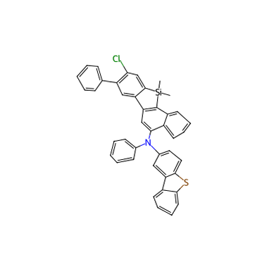 C[Si]1(C)c2cc(Cl)c(-c3ccccc3)cc2-c2cc(N(c3ccccc3)c3ccc4sc5ccccc5c4c3)c3ccccc3c21